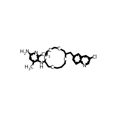 Cc1cc(N)nc(C)c1NC1CCCCCCC(Cc2ccc3ncc(Cl)cc3c2)CCCCCC1